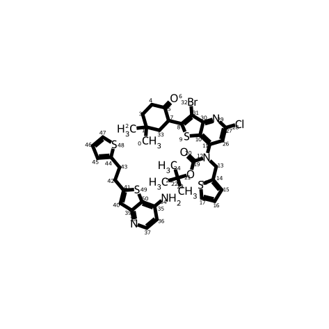 CC1(C)CCC(=O)C(c2sc3c(N(Cc4cccs4)C(=O)OC(C)(C)C)cc(Cl)nc3c2Br)C1.Nc1ccnc2cc(CCc3cccs3)sc12